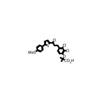 CSc1ccc(-c2ccc(C(=O)CCc3ccc(OC(C)(C)C(=O)O)c(Cl)c3Cl)s2)cc1